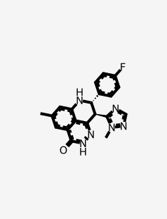 Cc1cc2c3c(n[nH]c(=O)c3c1)[C@H](c1ncnn1C)[C@@H](c1ccc(F)cc1)N2